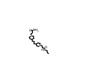 CCCNC(=O)CCN1CCC(CCCC2CCN(CCC(N)=O)CC2)CC1